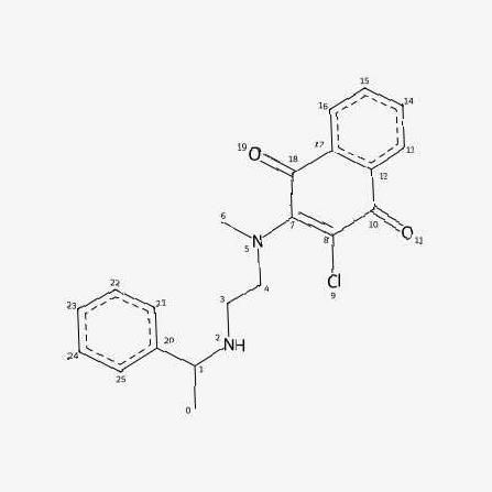 CC(NCCN(C)C1=C(Cl)C(=O)c2ccccc2C1=O)c1ccccc1